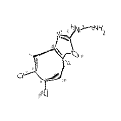 NNc1nc2cc(Cl)c(Cl)cc2o1